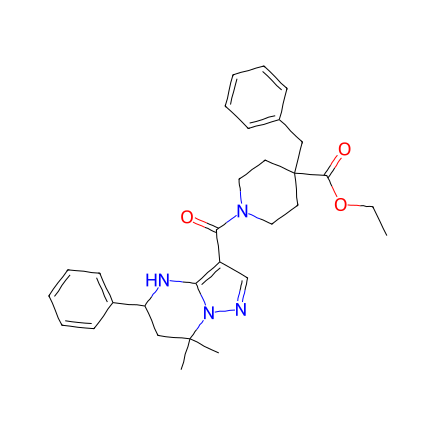 CCOC(=O)C1(Cc2ccccc2)CCN(C(=O)c2cnn3c2NC(c2ccccc2)CC3(C)C)CC1